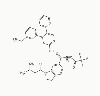 CC(C)CC(=O)N1CCc2ccc(C(N)=O)cc21.NCc1cccc(N(CC(=O)O)C(=O)c2ccccc2)c1.O=C(O)C(F)(F)F